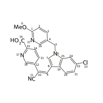 COc1ccc(Cn2cc(C=C(C#N)c3ccc(C(=O)O)nc3)c3ccc(Cl)cc32)cn1